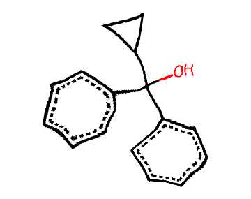 OC(c1ccccc1)(c1ccccc1)C1CC1